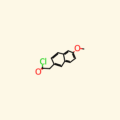 COc1ccc2cc(CC(=O)Cl)ccc2c1